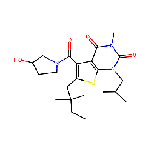 CCC(C)(C)Cc1sc2c(c1C(=O)N1CCC(O)C1)c(=O)n(C)c(=O)n2CC(C)C